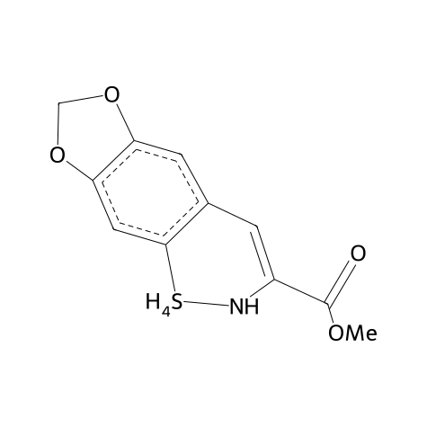 COC(=O)C1=Cc2cc3c(cc2[SH4]N1)OCO3